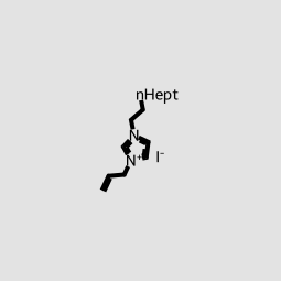 C=CC[n+]1ccn(CCCCCCCCC)c1.[I-]